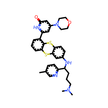 Cc1ccc(C(CCCN(C)C)Nc2ccc3c(c2)Sc2cccc(-c4cc(N5CCOCC5)cc(=O)[nH]4)c2S3)nc1